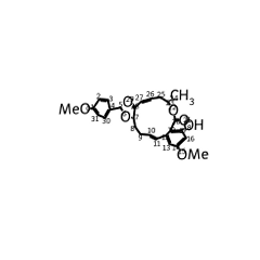 COc1ccc(CO[C@H]2CC/C=C/c3cc(OC)cc(O)c3C(=O)O[C@@H](C)C/C=C\C2=O)cc1